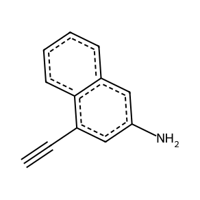 C#Cc1cc(N)cc2ccccc12